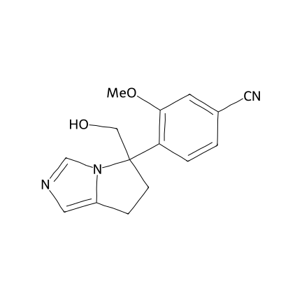 COc1cc(C#N)ccc1C1(CO)CCc2cncn21